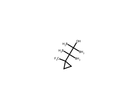 BC(B)(O)C(B)(B)C1(C(F)(F)F)CC1